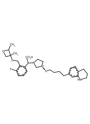 CC1OCC1(C)OCc1c(F)cccc1C(C(=O)O)N1CC[C@@H](OCCCCc2ccc3c(n2)NCCC3)C1